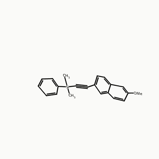 COc1ccc2cc(C#C[Si](C)(C)c3ccccc3)ccc2c1